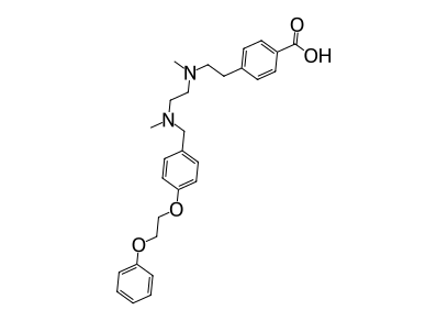 CN(CCc1ccc(C(=O)O)cc1)CCN(C)Cc1ccc(OCCOc2ccccc2)cc1